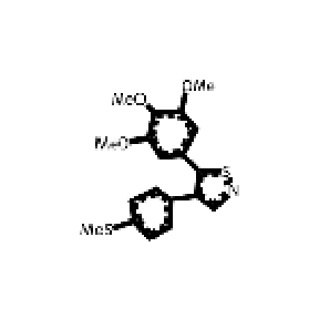 COc1cc(-c2sncc2-c2ccc(SC)cc2)cc(OC)c1OC